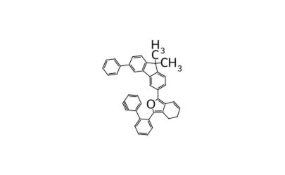 CC1(C)c2ccc(-c3ccccc3)cc2-c2cc(-c3oc(-c4ccccc4-c4c#cccc4)c4c3C=CCC4)ccc21